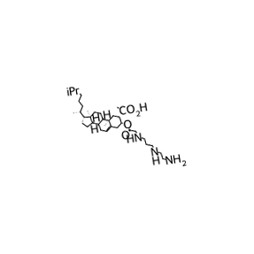 CC(=O)O.CC(C)CCC[C@@H](C)[C@H]1CC[C@H]2[C@@H]3CC=C4C[C@@H](OC(=O)CNCCCNCCN)CC[C@]4(C)[C@H]3CC[C@]12C